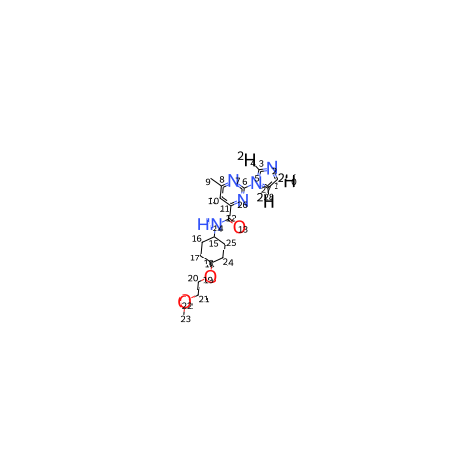 [2H]c1nc([2H])n(-c2nc(C)cc(C(=O)NC3CCC(OCCOC)CC3)n2)c1[2H]